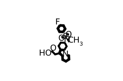 CN(C1CCc2c(CC(=O)O)c3ccccn3c2C1)S(=O)(=O)c1ccc(F)cc1